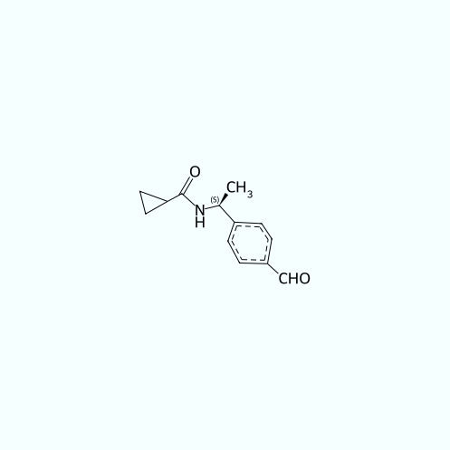 C[C@H](NC(=O)C1CC1)c1ccc(C=O)cc1